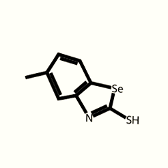 Cc1ccc2[se]c(S)nc2c1